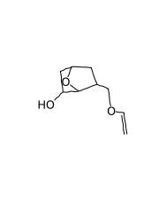 C=COCC1CC2CC(O)C1O2